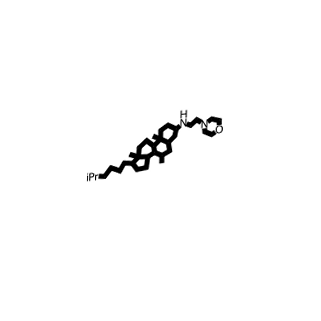 CC(C)CCCCC1CCC2C3C(C)CC4CC(NCCN5CCOCC5)CCC4(C)C3CCC12C